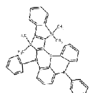 C[Si]1(C)C2=C(C3=C1N(c1ccccc1)c1cccc4c1B3c1ccccc1N4c1ccccc1)[Si](C)(C)c1ccccc12